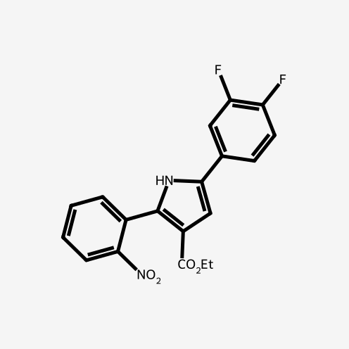 CCOC(=O)c1cc(-c2ccc(F)c(F)c2)[nH]c1-c1ccccc1[N+](=O)[O-]